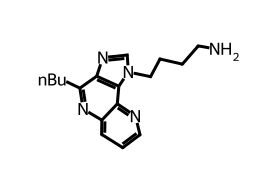 CCCCc1nc2cccnc2c2c1ncn2CCCCN